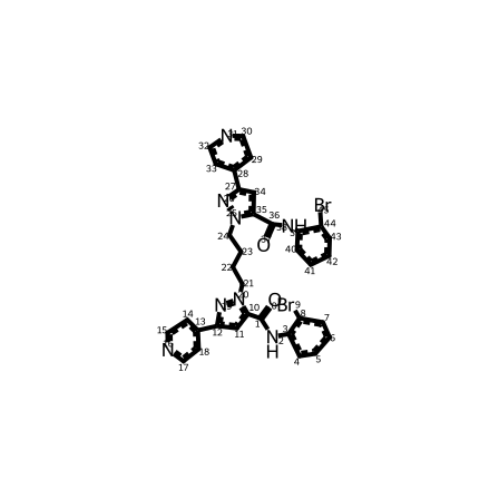 O=C(Nc1ccccc1Br)c1cc(-c2ccncc2)nn1CCCCn1nc(-c2ccncc2)cc1C(=O)Nc1ccccc1Br